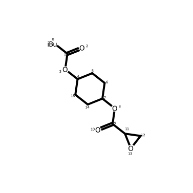 CCC(C)C(=O)OC1CCC(OC(=O)C2CO2)CC1